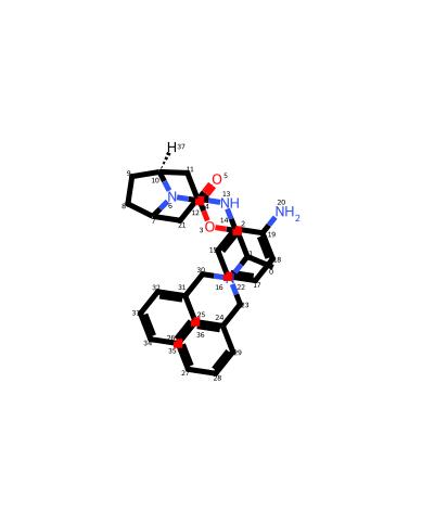 CC(COC(=O)N1C2CC[C@H]1CC(Nc1ccccc1N)C2)N(Cc1ccccc1)Cc1ccccc1